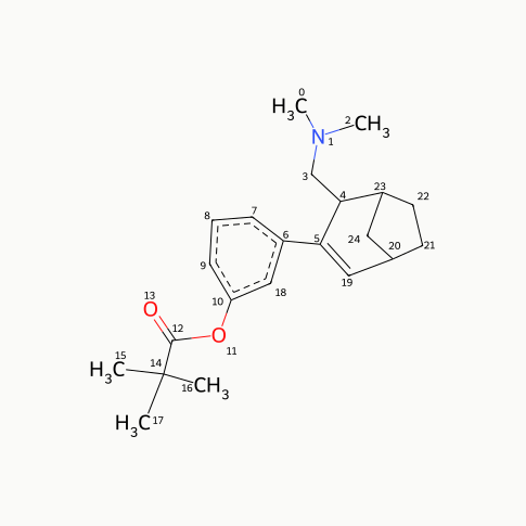 CN(C)CC1C(c2cccc(OC(=O)C(C)(C)C)c2)=CC2CCC1C2